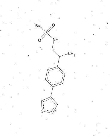 CCC(C)S(=O)(=O)NCC(C)c1ccc(-c2ccsc2)cc1